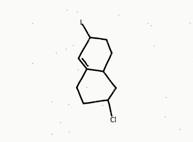 ClC1CCC2=CC(I)CCC2C1